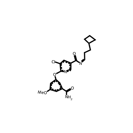 COc1cc(Oc2ncc(C(=O)/N=C\CCC3CCC3)cc2Cl)cc(C(N)=O)c1